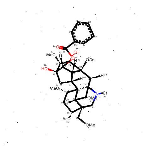 CCN1C[C@@]2(COC)[C@H]3[C@@H](OC)[C@H]4C1[C@]3([C@@H](OC)C[C@H]2OC(C)=O)[C@@H]1C[C@@]2(O)[C@H](OC(=O)c3ccccc3)[C@@H]1[C@]4(OC(C)=O)[C@@H](O)[C@@H]2OC